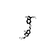 Nc1c[nH]c2ccc(OCC[C@@H]3CC4CN(CC(F)(F)F)C[C@@H]4C3)cc12